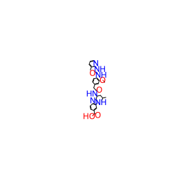 COc1cc(CC(=O)NC(CC(C)C)c2nc3ccc(C(=O)O)cc3[nH]2)ccc1NC(=O)Nc1ncccc1C